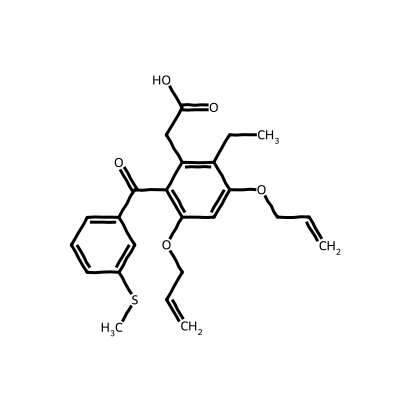 C=CCOc1cc(OCC=C)c(C(=O)c2cccc(SC)c2)c(CC(=O)O)c1CC